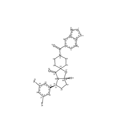 O=C(c1cnc2scnc2c1)N1CCC2(CC1)O[C@@H]1CC[C@@H](c3cc(F)cc(F)c3)N1C2=O